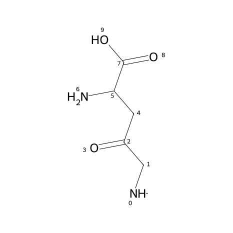 [NH]CC(=O)CC(N)C(=O)O